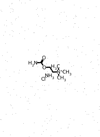 C[N+](C)(C)CCOC(N)=O.N.[Cl-]